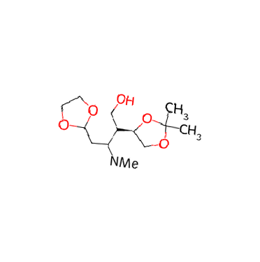 CNC(CC1OCCO1)C(CO)[C@@H]1COC(C)(C)O1